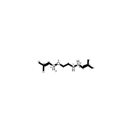 CC(C)=C[SiH2]NCCO[SiH2]C=C(C)C